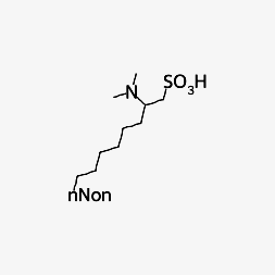 CCCCCCCCCCCCCCCC(CS(=O)(=O)O)N(C)C